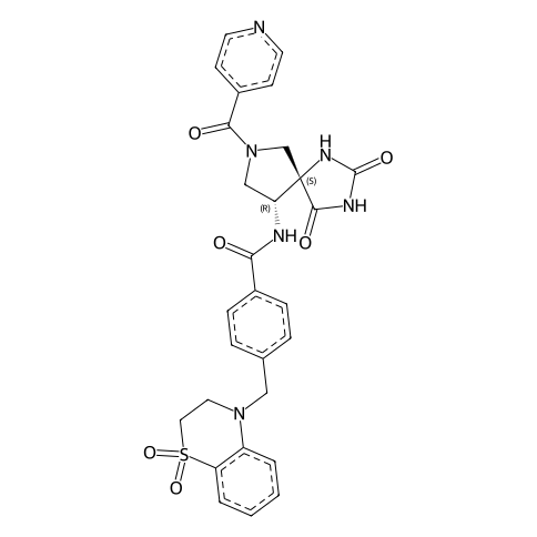 O=C1NC(=O)[C@@]2(CN(C(=O)c3ccncc3)C[C@H]2NC(=O)c2ccc(CN3CCS(=O)(=O)c4ccccc43)cc2)N1